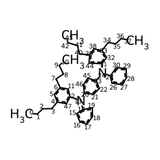 CCCCc1cc(CCCC)cc(N(c2ccccc2)c2ccc(N(c3ccccc3)c3cc(CCCC)cc(CCCC)c3)cc2)c1